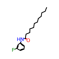 CCCCCCCCCCCC(=O)Nc1cccc(F)c1